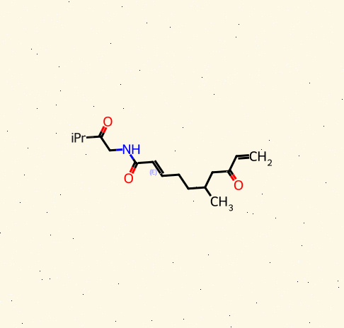 C=CC(=O)CC(C)CC/C=C/C(=O)NCC(=O)C(C)C